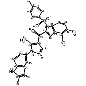 Cc1ccc(S(=O)(=O)n2c(C(=O)c3cnn(-c4ccc5[nH]c(C)nc5c4)c3N)cc3c(Cl)c(Cl)ccc32)cc1